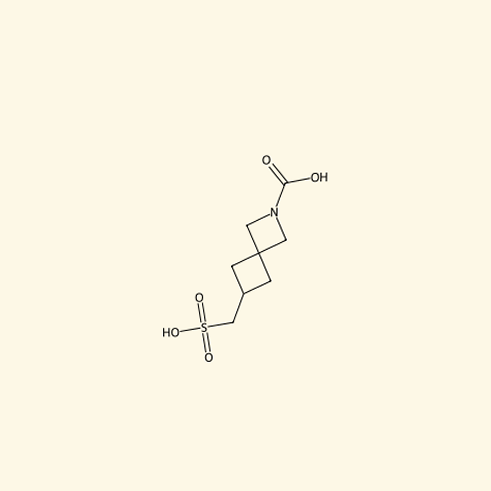 O=C(O)N1CC2(CC(CS(=O)(=O)O)C2)C1